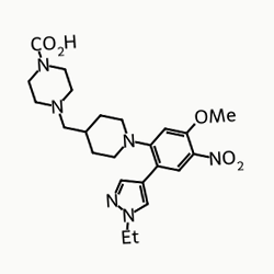 CCn1cc(-c2cc([N+](=O)[O-])c(OC)cc2N2CCC(CN3CCN(C(=O)O)CC3)CC2)cn1